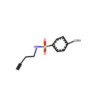 C#CCCNS(=O)(=O)c1ccc(OC)cc1